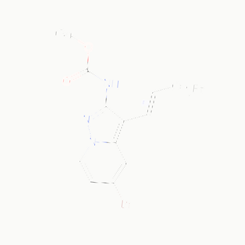 CCOC(=O)/C=C/c1c(NC(=O)OC(C)(C)C)nn2ccc(Br)cc12